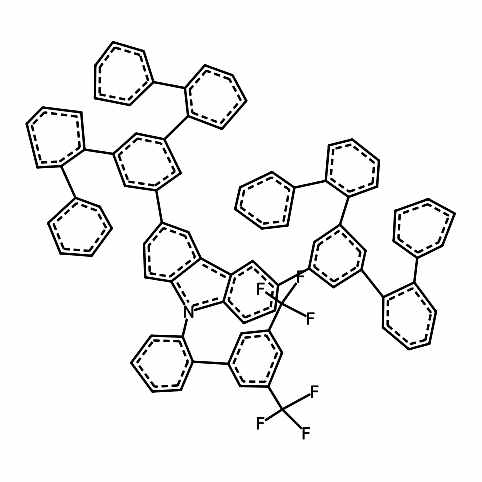 FC(F)(F)c1cc(-c2ccccc2-n2c3ccc(-c4cc(-c5ccccc5-c5ccccc5)cc(-c5ccccc5-c5ccccc5)c4)cc3c3cc(-c4cc(-c5ccccc5-c5ccccc5)cc(-c5ccccc5-c5ccccc5)c4)ccc32)cc(C(F)(F)F)c1